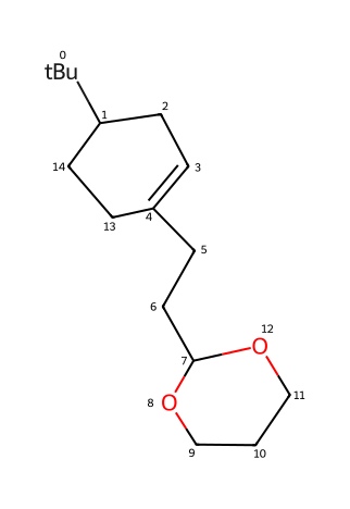 CC(C)(C)C1CC=C(CCC2OCCCO2)CC1